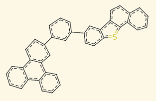 c1cc(-c2ccc3sc4c5ccccc5ccc4c3c2)cc(-c2ccc3c4ccccc4c4ccccc4c3c2)c1